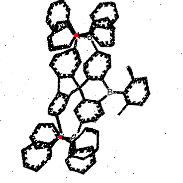 Cc1cccc(C)c1B1c2ccc(B(C3=CC=C=C=C3)c3ccccc3)cc2C2(c3cc(B(c4ccccc4)c4ccccc4)ccc31)c1cc(N(C3=CCCC=C3)c3ccccc3)ccc1-c1ccc(N(c3ccccc3)c3ccccc3)cc12